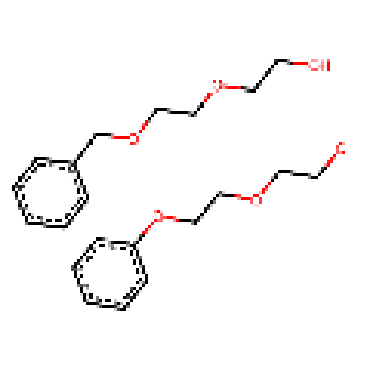 OCCOCCOCc1ccccc1.OCCOCCOc1ccccc1